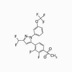 CS(=O)(=O)c1ccc(-c2cc(C(F)F)nn2-c2cccc(OC(F)(F)F)c2)c(F)c1F